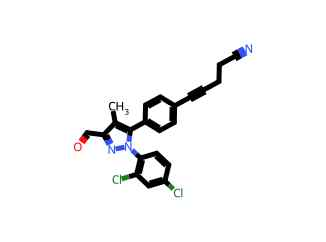 Cc1c(C=O)nn(-c2ccc(Cl)cc2Cl)c1-c1ccc(C#CCCC#N)cc1